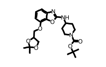 CC(C)(C)OC(=O)N1CCC(Nc2nc3cccc(OCC4COC(C)(C)O4)c3o2)CC1